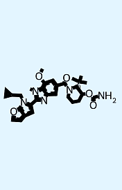 COc1cc(C(=O)N2CCCC(OC(N)=O)[C@H]2C(C)(C)C)cc2nc(-c3cc4ccoc4n3CC3CC3)n(C)c12